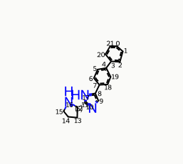 c1ccc(-c2ccc(-c3cnc([C@@H]4CCCN4)[nH]3)cc2)cc1